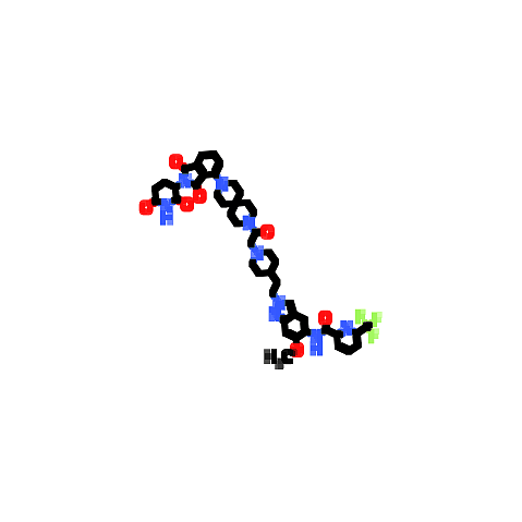 COc1cc2nn(CCC3CCN(CC(=O)N4CCC5(CC4)CCN(c4cccc6c4C(=O)N(C4CCC(=O)NC4=O)C6=O)CC5)CC3)cc2cc1NC(=O)c1cccc(C(F)(F)F)n1